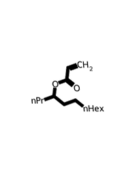 C=CC(=O)OC(CCC)CCCCCCCC